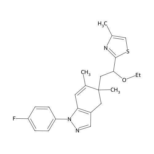 CCOC(CC1(C)Cc2cnn(-c3ccc(F)cc3)c2C=C1C)c1nc(C)cs1